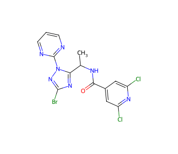 CC(NC(=O)c1cc(Cl)nc(Cl)c1)c1nc(Br)nn1-c1ncccn1